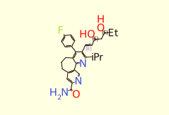 CC[C@H](O)C[C@H](O)/C=C/c1c(C(C)C)nc2c(c1-c1ccc(F)cc1)CCCc1cc(C(N)=O)ncc1-2